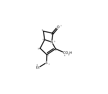 CCSC1=C(C(=O)O)N2C(=O)CC2C1